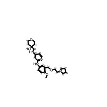 COc1ccc(Nc2nccc(NCC3(O)CCOCC3)n2)cc1COCCN1CCCC1